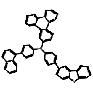 c1ccc2c(-c3ccc(N(c4ccc(-c5ccc6sc7ccccc7c6c5)cc4)c4ccc5c6ccccc6c6ccccc6c5c4)cc3)cccc2c1